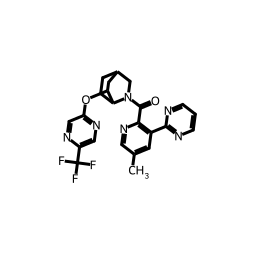 Cc1cnc(C(=O)N2CC3CCC2C(Oc2cnc(C(F)(F)F)cn2)C3)c(-c2ncccn2)c1